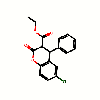 CCOC(=O)C1C(=O)Oc2ccc(Cl)cc2C1c1ccccc1